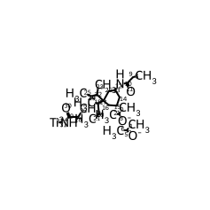 CC(C)[O-].CC(C)[O-].CCC(=O)NC1CCCC(C(C)CC)(C(C)CC)C1.CCC(=O)[NH][Ti+2]